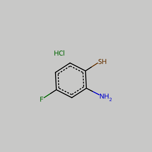 Cl.Nc1cc(F)ccc1S